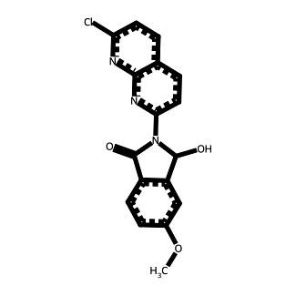 COc1ccc2c(c1)C(O)N(c1ccc3ccc(Cl)nc3n1)C2=O